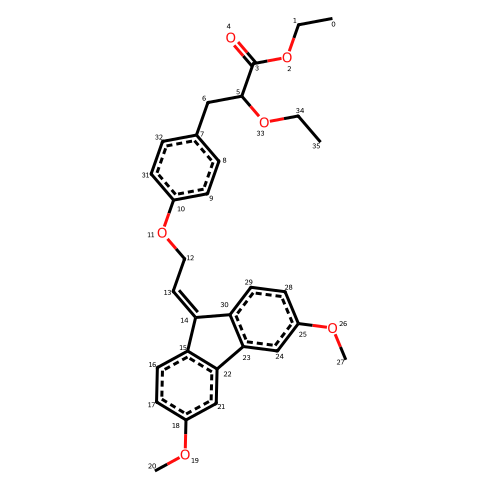 CCOC(=O)C(Cc1ccc(OCC=C2c3ccc(OC)cc3-c3cc(OC)ccc32)cc1)OCC